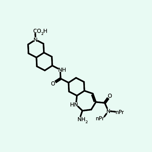 CCCN(CCC)C(=O)C1=CC2CCC(C(=O)NC3CCC4CCN(C(=O)O)CC4C3)CC2NC(N)C1